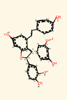 Oc1ccc(/C=C/c2cc(O)cc3c2[C@H](c2cc(O)cc(O)c2)[C@@H](c2ccc(O)c(O)c2)O3)cc1